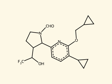 O=CN1CCC(C(O)C(F)(F)F)C1c1ccc(C2CC2)c(OCC2CC2)n1